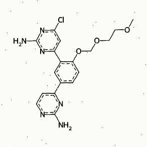 COCCOCOc1ccc(-c2ccnc(N)n2)cc1-c1cc(Cl)nc(N)n1